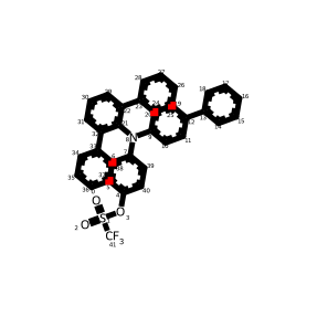 O=S(=O)(Oc1ccc(N(c2ccc(-c3ccccc3)cc2)c2c(-c3ccccc3)cccc2-c2ccccc2)cc1)C(F)(F)F